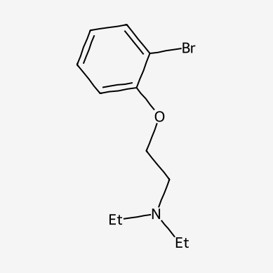 CCN(CC)CCOc1ccccc1Br